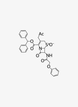 CC(=O)CC1=C(C(=O)OC(c2ccccc2)c2ccccc2)N2C(=O)C(NC(=O)COc3ccccc3)C2[S+]([O-])C1